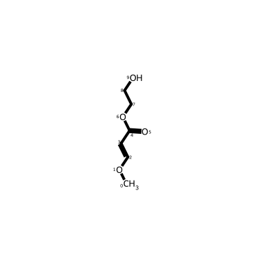 COC=CC(=O)OCCO